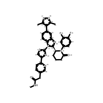 CNC(=O)Cc1ccc(-c2csc(-n3c([C@@H]4CCCC(=O)N4c4ccc(F)c(F)c4)nc4cc(-c5c(C)noc5C)ccc43)n2)nc1